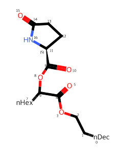 CCCCCCCCCCCCOC(=O)C(CCCCCC)OC(=O)[C@@H]1CCC(=O)N1